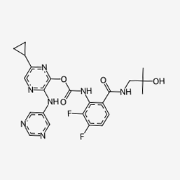 CC(C)(O)CNC(=O)c1ccc(F)c(F)c1NC(=O)Oc1nc(C2CC2)cnc1Nc1cncnc1